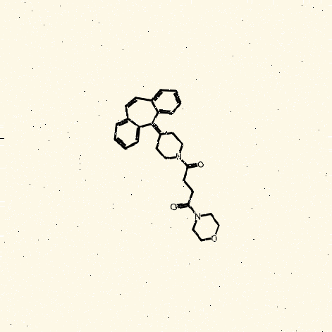 O=C(CCC(=O)N1CCC(=C2c3ccccc3C=Cc3ccccc32)CC1)N1CCOCC1